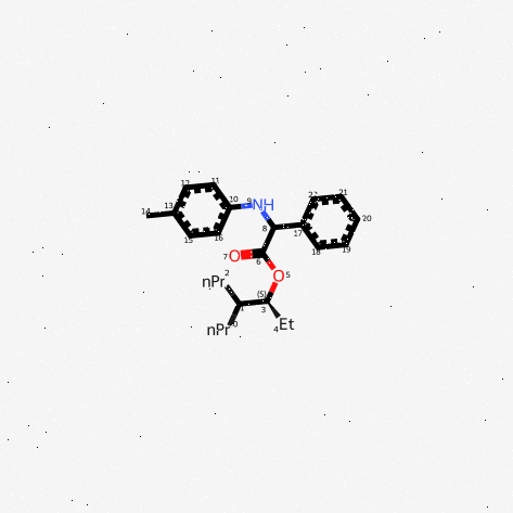 CCCC(CCC)[C@H](CC)OC(=O)C(Nc1ccc(C)cc1)c1ccccc1